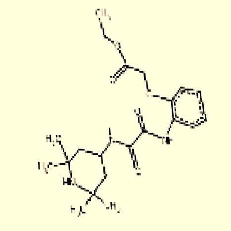 CCOC(=O)COc1ccccc1NC(=O)C(=O)NC1CC(C)(C)NC(C)(C)C1